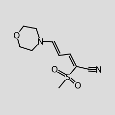 CS(=O)(=O)/C(C#N)=C\C=C\N1CCOCC1